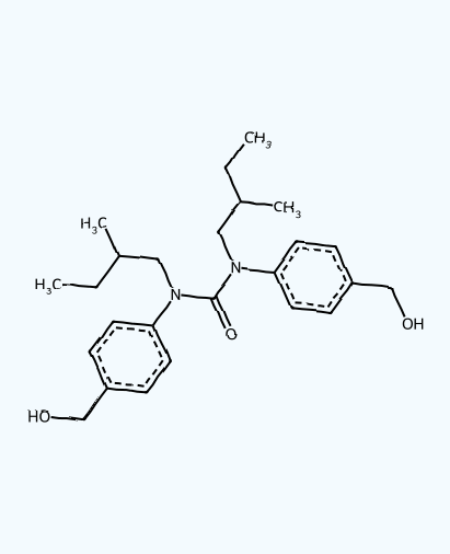 CCC(C)CN(C(=O)N(CC(C)CC)c1ccc(CO)cc1)c1ccc(CO)cc1